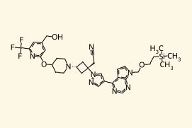 C[Si](C)(C)CCOCn1ccc2c(-c3cnn([C@]4(CC#N)C[C@H](N5CCC(Oc6cc(CO)cc(C(F)(F)F)n6)CC5)C4)c3)ncnc21